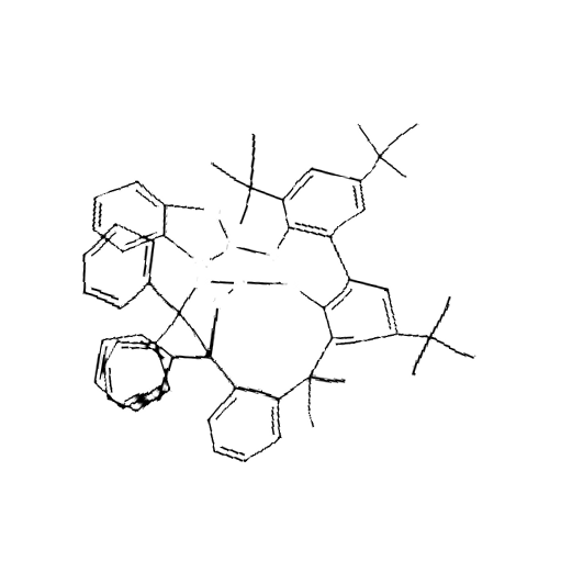 CC(C)(C)c1cc(-c2cc(C(C)(C)C)cc3c2OP2OC(c4ccccc4)(c4ccccc4)C(c4ccccc4)(O2)c2ccccc2C3(C)C)c(OP2Oc3ccccc3O2)c(C(C)(C)C)c1